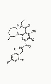 CCN1C(=O)c2c(O)c(=O)c(C(=O)NCc3c(F)cc(F)cc3F)cn2N2C[C@@H](C)CCC[C@@H]12